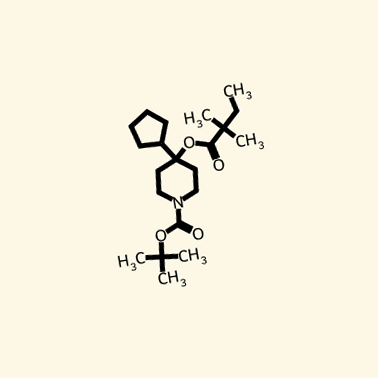 CCC(C)(C)C(=O)OC1(C2CCCC2)CCN(C(=O)OC(C)(C)C)CC1